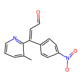 Cc1cccnc1/C(=C/C=O)c1ccc([N+](=O)[O-])cc1